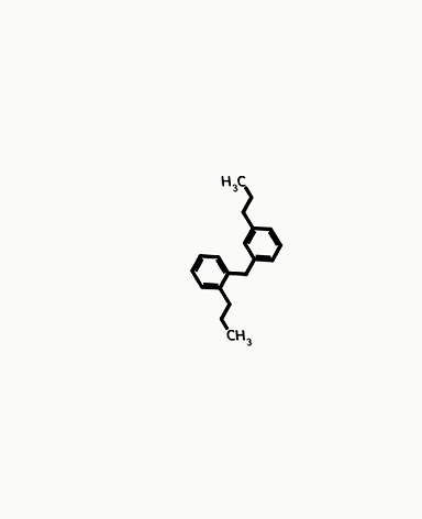 CCCc1cccc(Cc2ccccc2CCC)c1